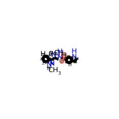 CCn1nc(C(CNS(=O)(=O)c2ccc3cc[nH]c3c2)N(C)C)c2ccccc21